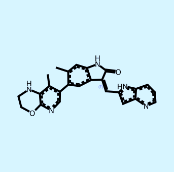 Cc1cc2c(cc1-c1cnc3c(c1C)NCCO3)/C(=C/c1cc3ncccc3[nH]1)C(=O)N2